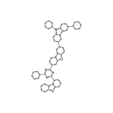 c1ccc(-c2ccc3c(c2)c2cc(-c4ccc5oc6cc(-c7nc(-c8ccccc8)nc(-c8cccc9oc%10ccccc%10c89)n7)ccc6c5c4)ccc2n3-c2ccccc2)cc1